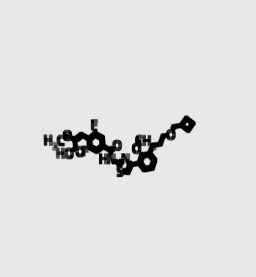 CO/C(=C/c1c(F)cc(C(=O)Nc2nc(-c3cccc(CCCOCC4CCC4)c3OC)cs2)cc1F)C(=O)O